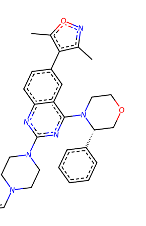 Cc1noc(C)c1-c1ccc2nc(N3CCN(C=O)CC3)nc(N3CCOC[C@@H]3c3ccccc3)c2c1